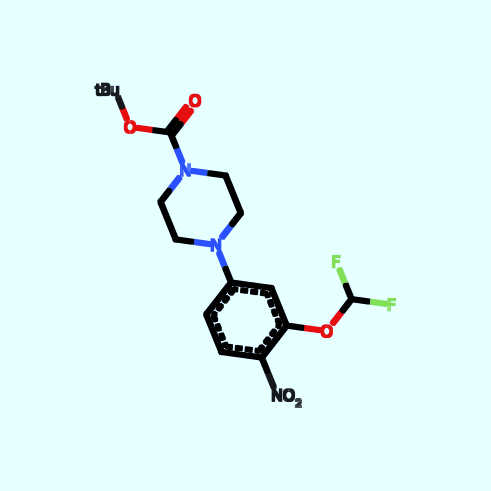 CC(C)(C)OC(=O)N1CCN(c2ccc([N+](=O)[O-])c(OC(F)F)c2)CC1